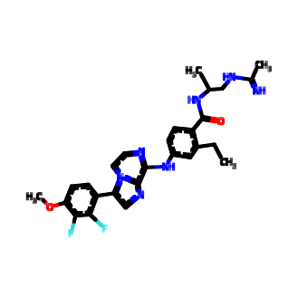 CCc1cc(Nc2nccn3c(-c4ccc(OC)c(F)c4F)cnc23)ccc1C(=O)NC(C)CNC(C)=N